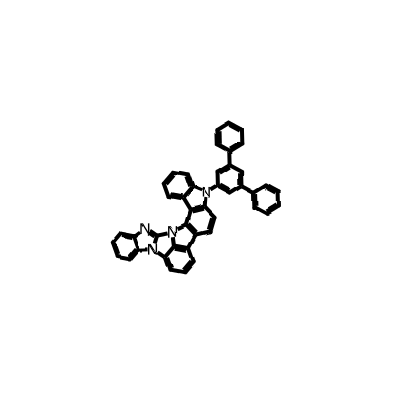 c1ccc(-c2cc(-c3ccccc3)cc(-n3c4ccccc4c4c3ccc3c5cccc6c5n(c34)c3nc4ccccc4n63)c2)cc1